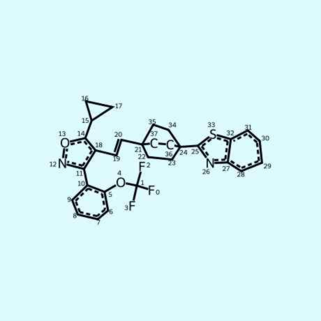 FC(F)(F)Oc1ccccc1-c1noc(C2CC2)c1C=CC12CCC(c3nc4ccccc4s3)(CC1)CC2